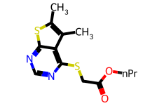 CCCOC(=O)CSc1ncnc2sc(C)c(C)c12